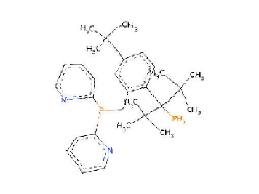 CC(C)(C)c1ccc(C(P)(C(C)(C)C)C(C)(C)C)c(CP(c2ccccn2)c2ccccn2)c1